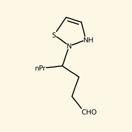 CCCC(CCC=O)N1NC=CS1